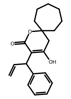 C=CC(C1=C(O)CC2(CCCCCC2)OC1=O)c1ccccc1